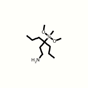 CCCC(CCC)(CCN)[Si](C)(OC)OC